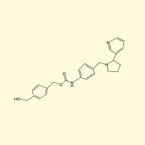 O=C(Nc1ccc(CN2CCCC2c2cccnc2)cc1)OCc1ccc(CO)cc1